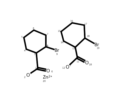 O=C([O-])C1CCCCC1Br.O=C([O-])C1CCCCC1Br.[Zn+2]